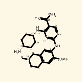 COc1cc2c(cc1Nc1ncc(C(N)=O)c(N[C@H]3CC[C@@H](N)CC3)n1)CN(C)CC2